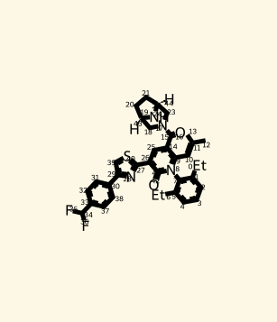 CCc1cccc(CC)c1-n1c(C=C(C)C)c(C(=O)N2C[C@H]3CC[C@@H](C2)N3)cc(-c2nc(-c3ccc(C(F)F)cc3)cs2)c1=O